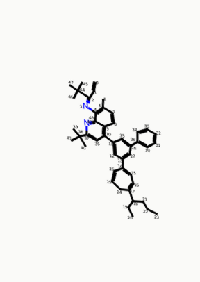 C=C/C(=N\c1c(C)ccc2c(-c3cc(C4=CC=C(C(CC)CCC)CC=C4)cc(-c4ccccc4)c3)cc(C(C)(C)C)nc12)C(C)(C)C